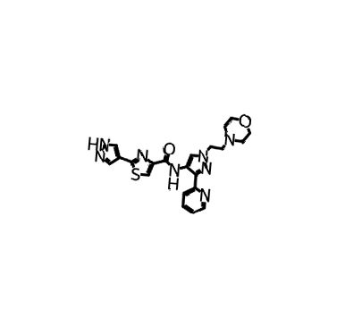 O=C(Nc1cn(CCN2CCOCC2)nc1-c1ccccn1)c1csc(-c2cn[nH]c2)n1